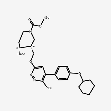 CCCCc1nnc(OC[C@H]2CN(C(=O)OC(C)(C)C)CC[C@H]2OC)cc1-c1ccc(OC2CCCCC2)cc1